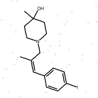 CC(=Cc1ccc(I)cc1)CN1CCC(C)(O)CC1